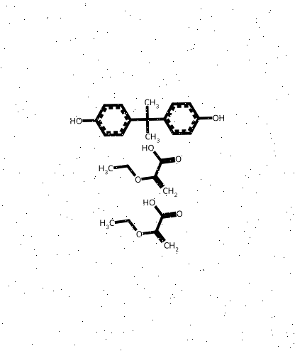 C=C(OCC)C(=O)O.C=C(OCC)C(=O)O.CC(C)(c1ccc(O)cc1)c1ccc(O)cc1